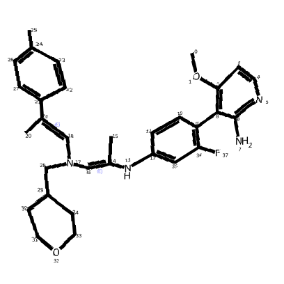 COc1ccnc(N)c1-c1ccc(N/C(C)=C/N(/C=C(\C)c2ccc(C)cc2)CC2CCOCC2)cc1F